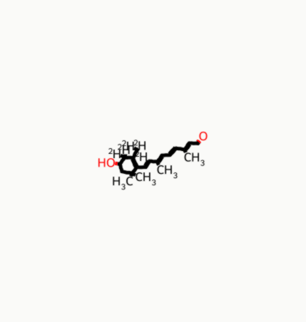 [2H]C([2H])([2H])C1=C(/C=C/C(C)=C/C=C/C(C)=C/C=O)C(C)(C)CC(O)C1([2H])[2H]